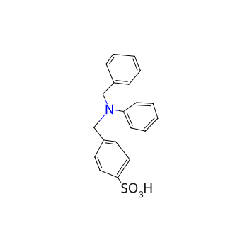 O=S(=O)(O)c1ccc(CN(Cc2ccccc2)c2ccccc2)cc1